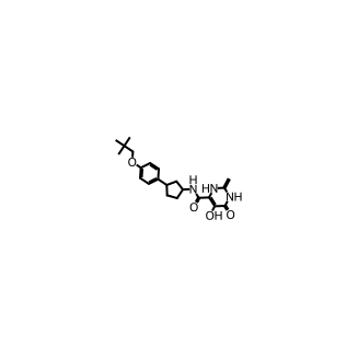 C=C1NC(=O)C(O)=C(C(=O)NC2CCC(c3ccc(OCC(C)(C)C)cc3)C2)N1